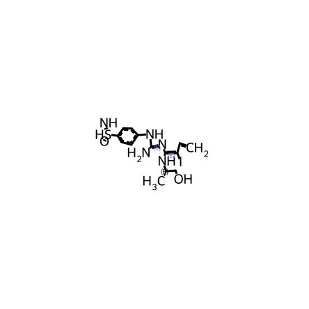 C=C/C(I)=C(\N=C(/N)Nc1ccc([SH](=N)=O)cc1)N[C@H](C)CO